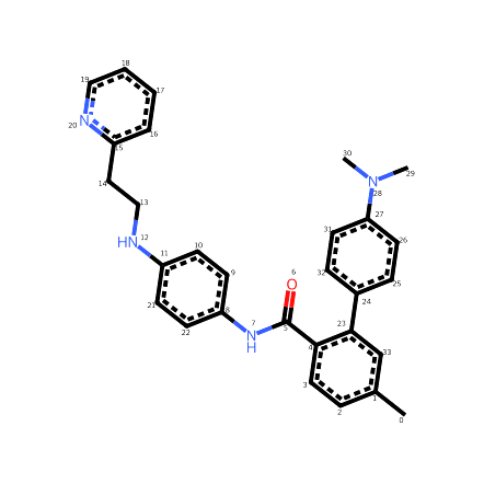 Cc1ccc(C(=O)Nc2ccc(NCCc3ccccn3)cc2)c(-c2ccc(N(C)C)cc2)c1